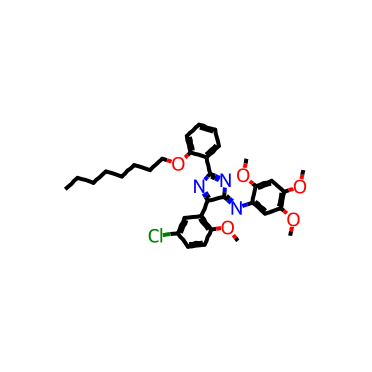 CCCCCCCCOc1ccccc1C1=N/C(=N\c2cc(OC)c(OC)cc2OC)C(c2cc(Cl)ccc2OC)=N1